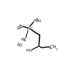 CCCC[N+](CCCC)(CCCC)CC(C)O.[OH-]